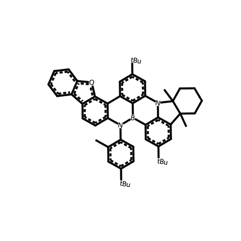 Cc1cc(C(C)(C)C)ccc1N1B2c3cc(C(C)(C)C)cc4c3N(c3cc(C(C)(C)C)cc(c32)-c2c1ccc1c2oc2ccccc21)C1(C)CCCCC41C